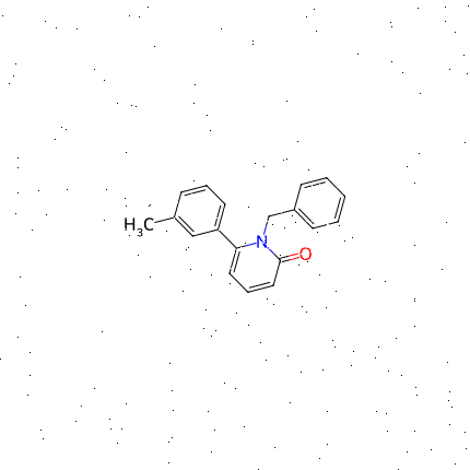 Cc1cccc(-c2cccc(=O)n2Cc2ccccc2)c1